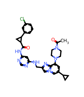 CC(=O)N1CCN(c2cc(C3CC3)cn3cc(CNc4cc(NC(=O)C5CC5c5cccc(Cl)c5)ncn4)nc23)CC1